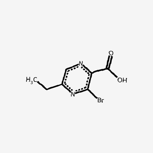 CCc1cnc(C(=O)O)c(Br)n1